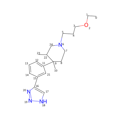 CCOCCCN1CCC(C)(c2cccc(-c3c[nH]nn3)c2)C(C)C1